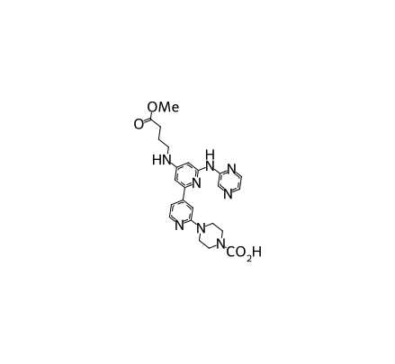 COC(=O)CCCNc1cc(Nc2cnccn2)nc(-c2ccnc(N3CCN(C(=O)O)CC3)c2)c1